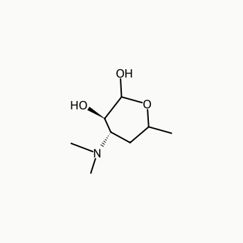 CC1C[C@H](N(C)C)[C@@H](O)C(O)O1